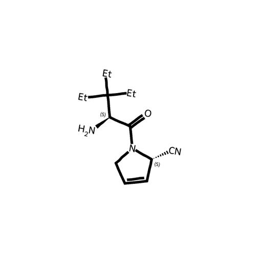 CCC(CC)(CC)[C@H](N)C(=O)N1CC=C[C@H]1C#N